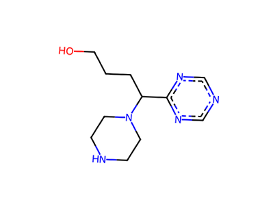 OCCCC(c1ncncn1)N1CCNCC1